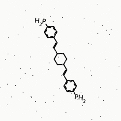 Pc1ccc(C=CC2CCC(C=Cc3ccc(P)cc3)CC2)cc1